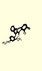 COc1ccc(-c2c3n(c4ccccc24)-c2ccc(Br)c(Cl)c2C3=O)c(OC)c1